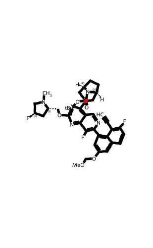 C#Cc1c(F)ccc2cc(OCOC)cc(-c3ncc4c(N5C[C@H]6CC[C@@H](C5)N6C(=O)OC(C)(C)C)nc(OC[C@@H]5C[C@@H](F)CN5C)nc4c3F)c12